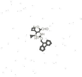 CC(=O)OC(C=O)[C@H](NC(=O)OCC1c2ccccc2-c2ccccc21)C(NC1CC1)C1CCC1